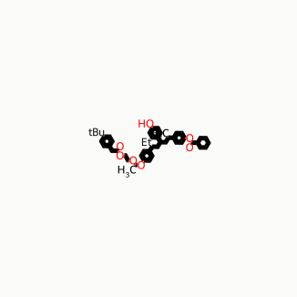 CCC(CC(CC(C)c1ccc(OC(=O)C2CCCCC2)cc1)c1ccc(O)cc1)c1ccc(OC(C)OCCOC(=O)Cc2ccc(C(C)(C)C)cc2)cc1